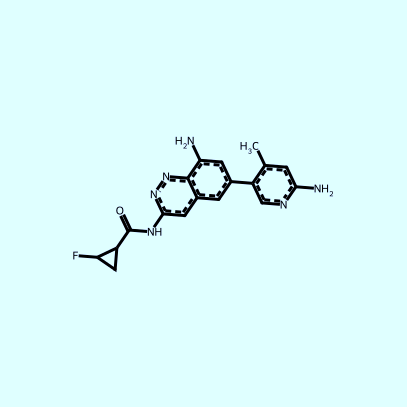 Cc1cc(N)ncc1-c1cc(N)c2nnc(NC(=O)C3CC3F)cc2c1